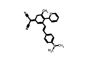 CC1=C(C2C=CC=CO2)C(C=Cc2ccc(N(C)C)cc2)=CC(=C(C#N)C#N)C1